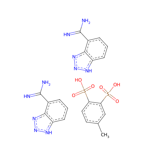 Cc1ccc(S(=O)(=O)O)c(S(=O)(=O)O)c1.N=C(N)c1cccc2[nH]nnc12.N=C(N)c1cccc2[nH]nnc12